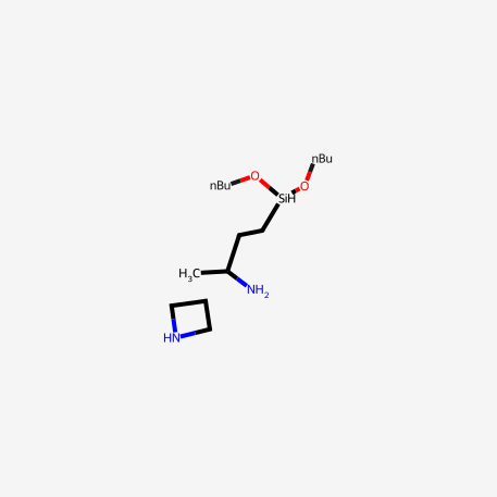 C1CNC1.CCCCO[SiH](CCC(C)N)OCCCC